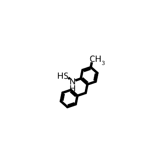 Cc1ccc(Cc2ccccc2)c(NS)c1